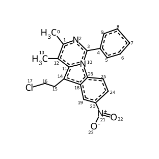 Cc1nc(-c2ccccc2)n2c(c1C)c(CCCl)c1cc([N+](=O)[O-])ccc12